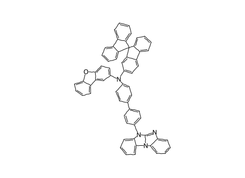 c1ccc2c(c1)-c1ccccc1C21c2ccccc2-c2ccc(N(c3ccc(-c4ccc(-n5c6ccccc6n6c7ccccc7nc56)cc4)cc3)c3ccc4oc5ccccc5c4c3)cc21